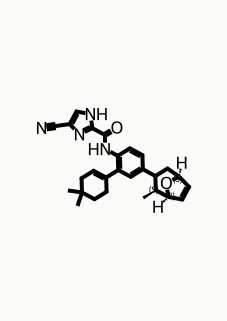 C[C@H]1C(c2ccc(NC(=O)c3nc(C#N)c[nH]3)c(C3=CCC(C)(C)CC3)c2)C[C@H]2C=C[C@@H]1O2